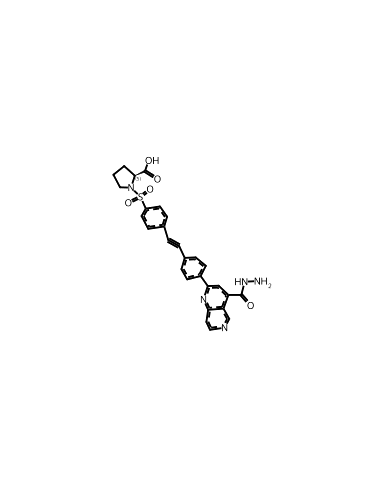 NNC(=O)c1cc(-c2ccc(C#Cc3ccc(S(=O)(=O)N4CCC[C@H]4C(=O)O)cc3)cc2)nc2ccncc12